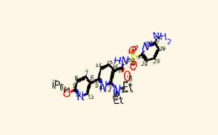 CCN(CC)c1nc(-c2ccc(OC(C)C)nc2)ccc1C(=O)NS(=O)(=O)c1cccc(N)n1